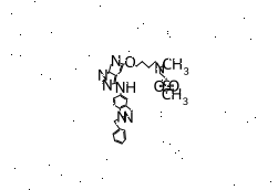 CN(CCCCOc1cc2c(Nc3ccc4c(cnn4Cc4ccccc4)c3)ncnc2cn1)CCS(C)(=O)=O